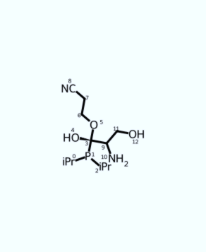 CC(C)P(C(C)C)[C@](O)(OCCC#N)C(N)CO